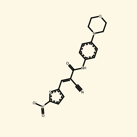 N#C/C(=C\c1ccc([N+](=O)[O-])s1)C(=O)Nc1ccc(N2CCOCC2)cc1